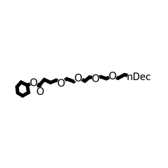 CCCCCCCCCCCCOCCOCCOCCOCCCC(=O)OC1CCCCC1